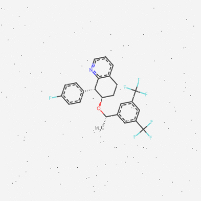 C[C@H](O[C@@H]1CCc2cccnc2[C@H]1c1ccc(F)cc1)c1cc(C(F)(F)F)cc(C(F)(F)F)c1